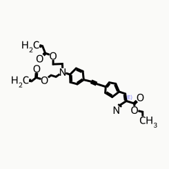 C=CC(=O)OCCN(CCOC(=O)C=C)c1ccc(C#Cc2ccc(/C=C(\C#N)C(=O)OCC)cc2)cc1